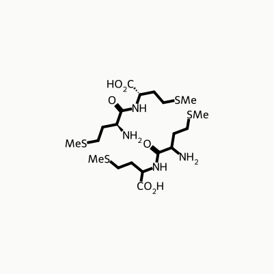 CSCCC(N)C(=O)NC(CCSC)C(=O)O.CSCC[C@H](NC(=O)[C@@H](N)CCSC)C(=O)O